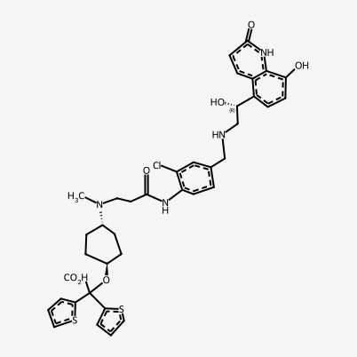 CN(CCC(=O)Nc1ccc(CNC[C@H](O)c2ccc(O)c3[nH]c(=O)ccc23)cc1Cl)[C@H]1CC[C@H](OC(C(=O)O)(c2cccs2)c2cccs2)CC1